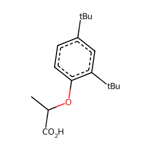 CC(Oc1ccc(C(C)(C)C)cc1C(C)(C)C)C(=O)O